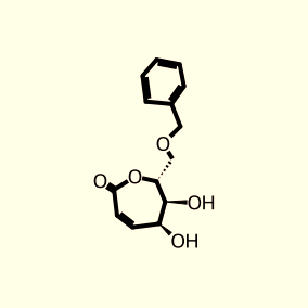 O=C1C=C[C@H](O)[C@H](O)[C@@H](COCc2ccccc2)O1